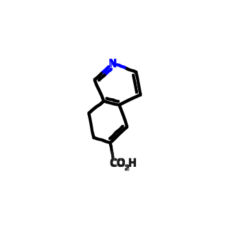 O=C(O)C1=Cc2ccncc2CC1